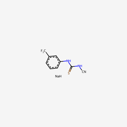 N#CNC(=S)Nc1cccc(C(F)(F)F)c1.[NaH]